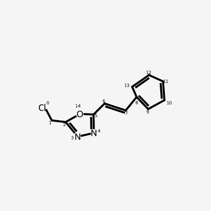 ClCc1nnc(C=Cc2ccccc2)o1